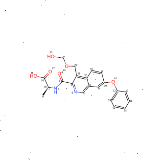 C[C@H](NC(=O)c1ncc2cc(Oc3ccccc3)ccc2c1COCO)C(=O)O